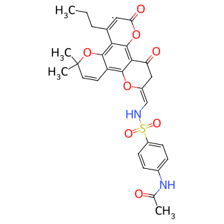 CCCc1[c]c(=O)oc2c3c(c4c(c12)OC(C)(C)C=C4)OC(=CNS(=O)(=O)c1ccc(NC(C)=O)cc1)CC3=O